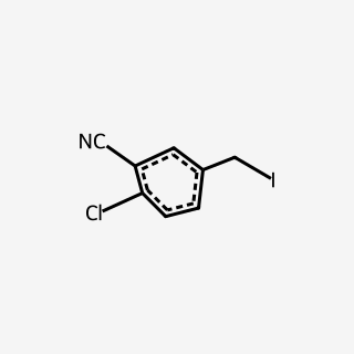 N#Cc1cc(CI)ccc1Cl